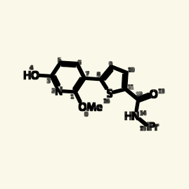 COc1nc(O)ccc1-c1ccc(C(=O)NC(C)C)s1